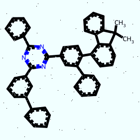 CC1(C)c2ccccc2-c2c(-c3ccc(-c4nc(-c5ccccc5)nc(-c5cccc(-c6ccccc6)c5)n4)cc3-c3ccccc3)cccc21